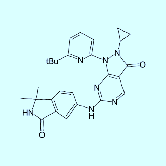 CC(C)(C)c1cccc(-n2c3nc(Nc4ccc5c(c4)C(=O)NC5(C)C)ncc3c(=O)n2C2CC2)n1